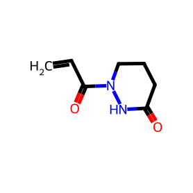 C=CC(=O)N1CCCC(=O)N1